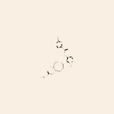 Cn1ncc(NC(=O)c2csc(Br)n2)c1[C@@H]1CC[C@@H](NC(=O)OC(C)(C)C)[C@@H](F)CO1